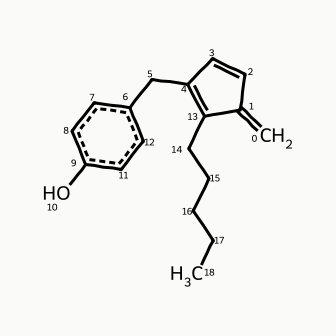 C=C1C=CC(Cc2ccc(O)cc2)=C1CCCCC